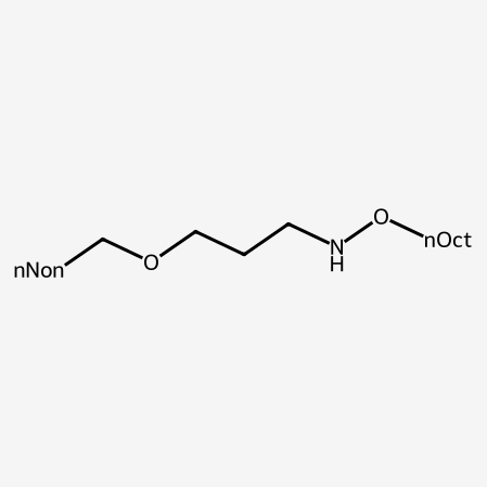 CCCCCCCCCCOCCCNOCCCCCCCC